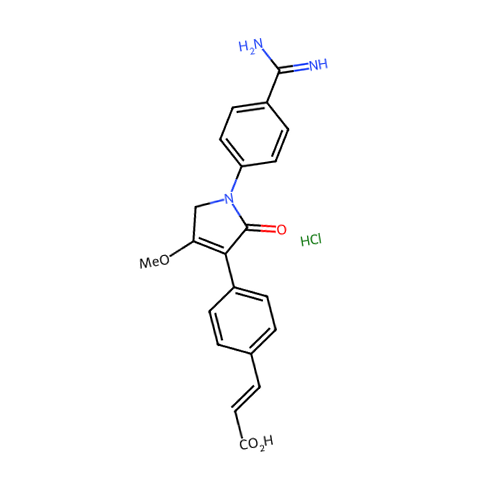 COC1=C(c2ccc(C=CC(=O)O)cc2)C(=O)N(c2ccc(C(=N)N)cc2)C1.Cl